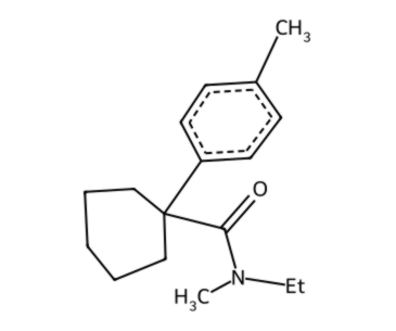 CCN(C)C(=O)C1(c2ccc(C)cc2)CCCCC1